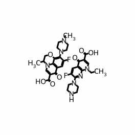 CC1COc2c(N3CCN(C)CC3)c(F)cc3c(=O)c(C(=O)O)cn1c23.CCn1cc(C(=O)O)c(=O)c2cc(F)c(N3CCNCC3)nc21